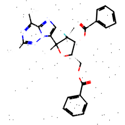 CSc1nc(SC)c2ncc(C3(C#N)O[C@H](COC(=O)c4ccccc4)[C@@H](OC(=O)c4ccccc4)[C@@]3(C)F)n2n1